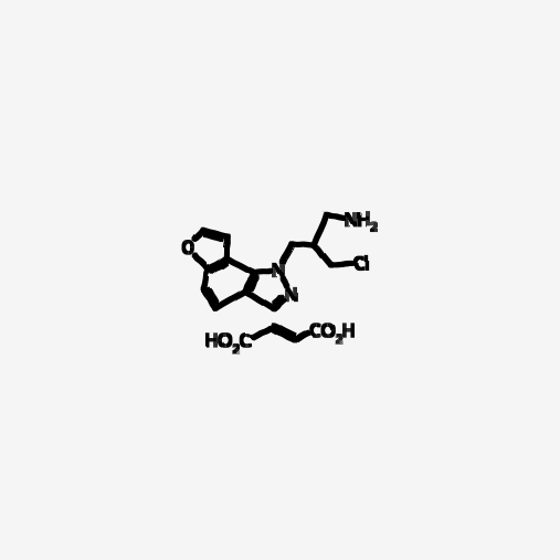 NCC(CCl)Cn1ncc2ccc3occc3c21.O=C(O)/C=C/C(=O)O